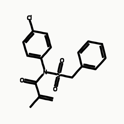 C=C(C)C(=O)N(c1ccc(Cl)cc1)S(=O)(=O)Cc1ccccc1